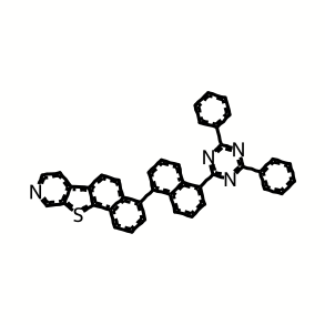 c1ccc(-c2nc(-c3ccccc3)nc(-c3cccc4c(-c5cccc6c5ccc5c7ccncc7sc65)cccc34)n2)cc1